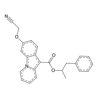 CC(Cc1ccccc1)OC(=O)c1c2ccc(OCC#N)cc2n2ccccc12